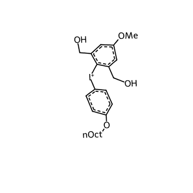 CCCCCCCCOc1ccc([I+]c2c(CO)cc(OC)cc2CO)cc1